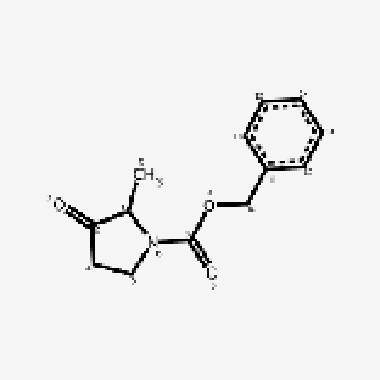 CC1C(=O)CCN1C(=O)OCc1ccccc1